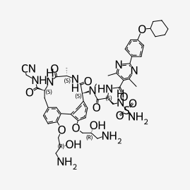 Cc1nc(-c2ccc(OC3CCCCC3)cc2)nc(C)c1C(=O)N[C@@H](CNS(N)(=O)=O)C(=O)N(C)[C@@H]1C(=O)N[C@@H](C)C(=O)N[C@H](C(=O)NCC#N)Cc2ccc(OC[C@H](O)CN)c(c2)-c2cc1ccc2OC[C@H](O)CN